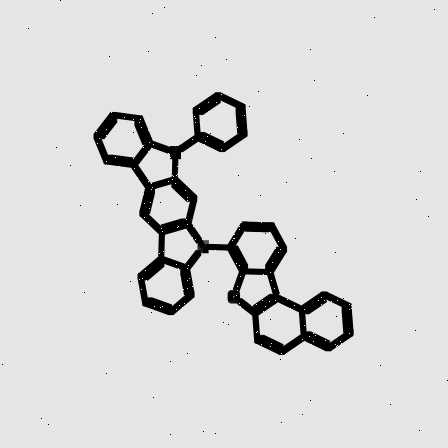 c1ccc(-n2c3ccccc3c3cc4c5ccccc5n(-c5cccc6c5oc5ccc7ccccc7c56)c4cc32)cc1